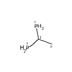 CC(P)P